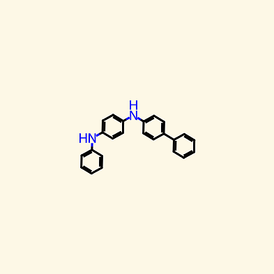 c1ccc(Nc2ccc(Nc3ccc(-c4ccccc4)cc3)cc2)cc1